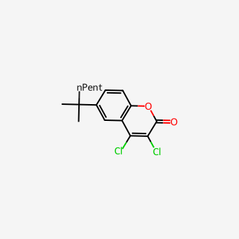 CCCCCC(C)(C)c1ccc2oc(=O)c(Cl)c(Cl)c2c1